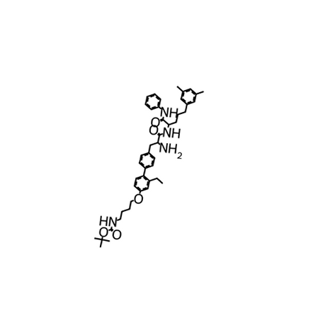 CCc1cc(OCCCCNC(=O)OC(C)(C)C)ccc1-c1ccc(CC(N)C(=O)NC(CCCc2cc(C)cc(C)c2)C(=O)Nc2ccccc2)cc1